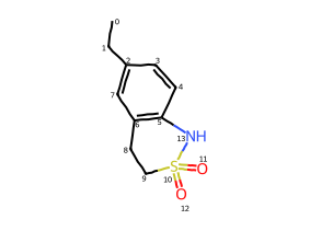 CCc1ccc2c(c1)CCS(=O)(=O)N2